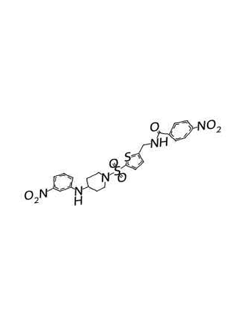 O=C(NCc1ccc(S(=O)(=O)N2CCC(Nc3cccc([N+](=O)[O-])c3)CC2)s1)c1ccc([N+](=O)[O-])cc1